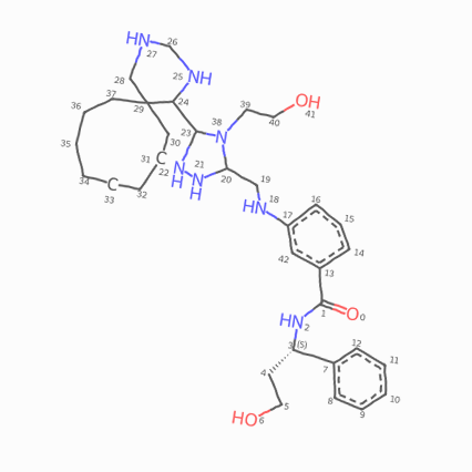 O=C(N[C@@H](CCO)c1ccccc1)c1cccc(NCC2NNC(C3NCNCC34CCCCCCCC4)N2CCO)c1